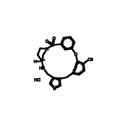 Cl.N#Cc1ccc2cc1Oc1cccc(c1)S(=O)(=O)N1CC[C@H](C1)NCc1cncn1C2